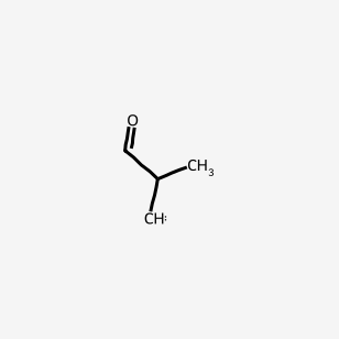 [CH]C(C)C=O